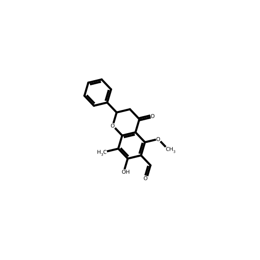 COc1c(C=O)c(O)c(C)c2c1C(=O)CC(c1ccccc1)O2